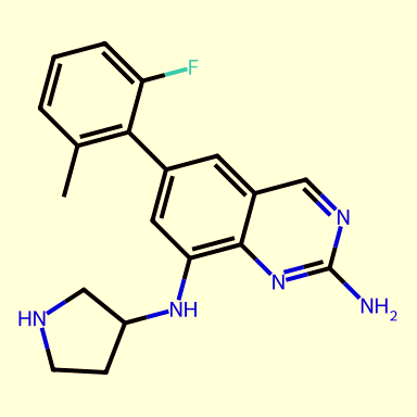 Cc1cccc(F)c1-c1cc(NC2CCNC2)c2nc(N)ncc2c1